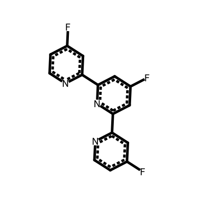 Fc1ccnc(-c2cc(F)cc(-c3cc(F)ccn3)n2)c1